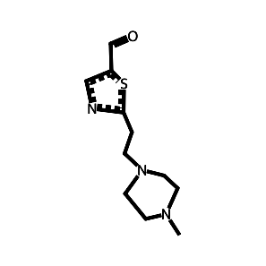 CN1CCN(CCc2ncc(C=O)s2)CC1